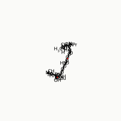 Cc1cc(C)c(CNC(=O)c2cc(C3=CCN(C(=O)COCCOCCOCC(=O)NCCOCCOCCOCCC(=O)NC(C(=O)N4C[C@H](O)C[C@H]4C(=O)NCc4ccc(-c5scnc5C)cc4)C(C)(C)C)CC3)cc3c2cnn3C(C)C)c(=O)[nH]1